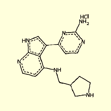 Cl.Nc1nccc(-c2c[nH]c3nccc(NCC4CCNC4)c23)n1